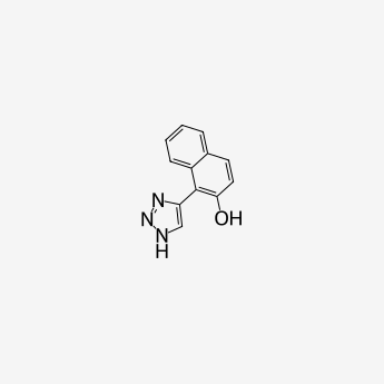 Oc1ccc2ccccc2c1-c1c[nH]nn1